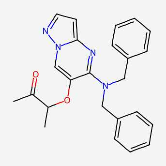 CC(=O)C(C)Oc1cn2nccc2nc1N(Cc1ccccc1)Cc1ccccc1